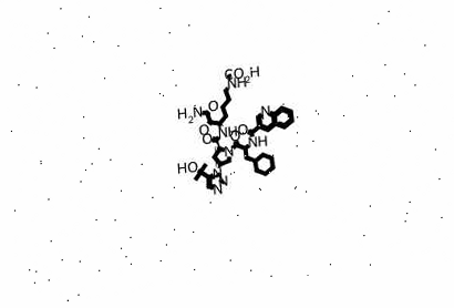 CC(C)(O)c1cnnn1[C@H]1C[C@@H](C(=O)NC(CCCCNC(=O)O)C(=O)C(N)=O)N(C(=O)C(CC2CCCCC2)NC(=O)c2cnc3ccccc3c2)C1